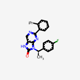 CC(C)c1ccccc1-c1ncc2[nH]c(=O)n([C@H](C)c3ccc(F)cc3)c2n1